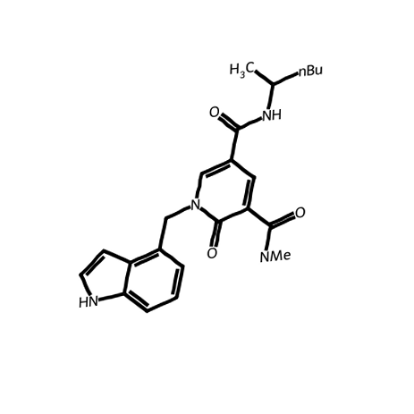 CCCCC(C)NC(=O)c1cc(C(=O)NC)c(=O)n(Cc2cccc3[nH]ccc23)c1